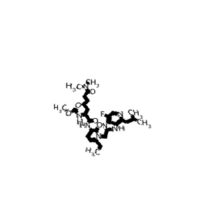 CCc1ccc(NC(=O)C(CCC=CC(=O)N(C)C)NC(=O)OC)c(=O)n1Cc1nc2c(F)cnc(CC(C)C)c2[nH]1